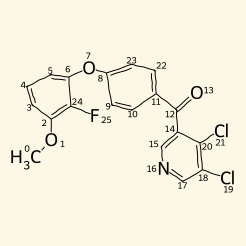 COc1cccc(Oc2ccc(C(=O)c3cncc(Cl)c3Cl)cc2)c1F